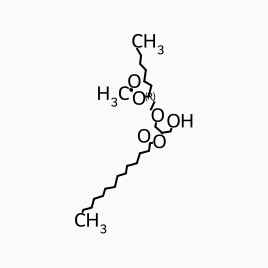 CCCCCCCCCCCCCC(=O)OC(CO)COCC[C@@H](CCCCCCC)OC(C)=O